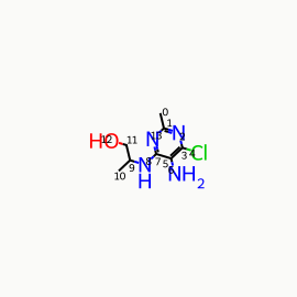 Cc1nc(Cl)c(N)c(NC(C)CO)n1